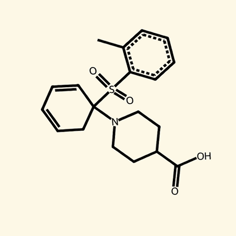 Cc1ccccc1S(=O)(=O)C1(N2CCC(C(=O)O)CC2)C=CC=CC1